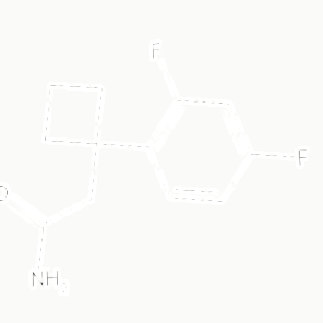 NC(=O)CC1(c2ccc(F)cc2F)CCC1